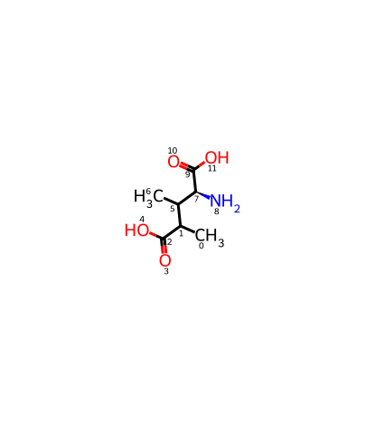 CC(C(=O)O)C(C)[C@H](N)C(=O)O